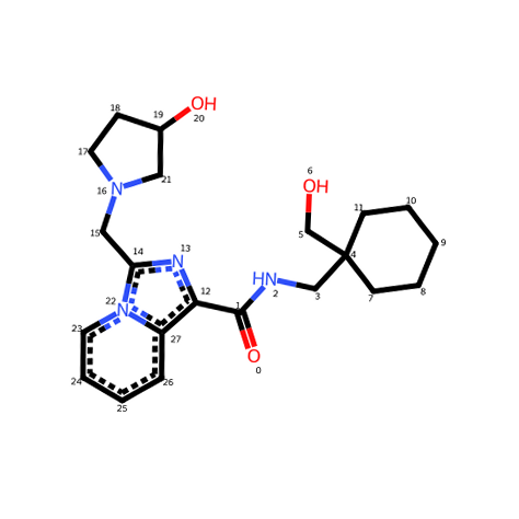 O=C(NCC1(CO)CCCCC1)c1nc(CN2CCC(O)C2)n2ccccc12